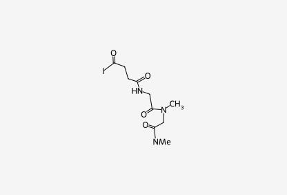 CNC(=O)CN(C)C(=O)CNC(=O)CCC(=O)I